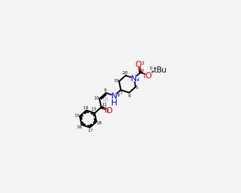 CC(C)(C)OC(=O)N1CCC(N/C=C\C(=O)c2ccccc2)CC1